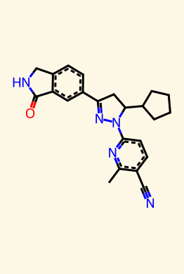 Cc1nc(N2N=C(c3ccc4c(c3)C(=O)NC4)CC2C2CCCC2)ccc1C#N